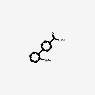 COC(=O)c1ccc(-c2ccccc2SC)cc1